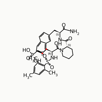 Cc1cc(C)c(S(=O)(=O)N[C@@H](CSCP(=O)(O)O)C(=O)N2CCCC[C@H]2C(=O)N[C@@H](Cc2ccc3ccccc3c2)C(N)=O)c(C)c1